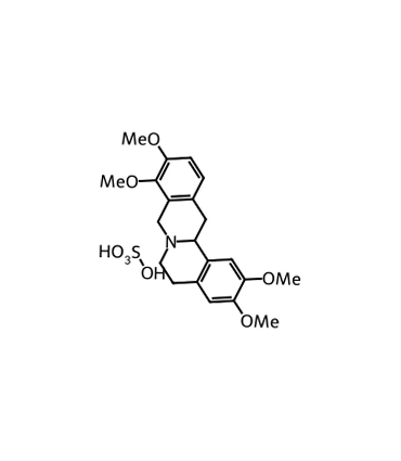 COc1cc2c(cc1OC)C1Cc3ccc(OC)c(OC)c3CN1CC2.O=S(=O)(O)O